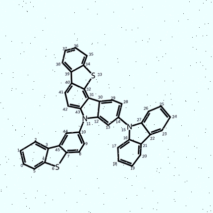 c1ccc2c(c1)sc1ccc(-n3c4cc(-n5c6ccccc6c6ccccc65)ccc4c4c5sc6ccccc6c5ccc43)cc12